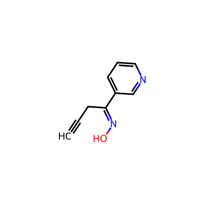 C#CCC(=NO)c1cccnc1